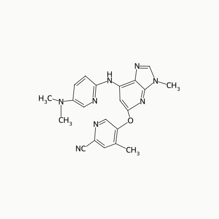 Cc1cc(C#N)ncc1Oc1cc(Nc2ccc(N(C)C)cn2)c2ncn(C)c2n1